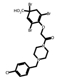 O=C(COC1=C(Br)CC(Br)(C(=O)O)C=C1Br)N1CCN(Cc2ccc(Cl)cc2)CC1